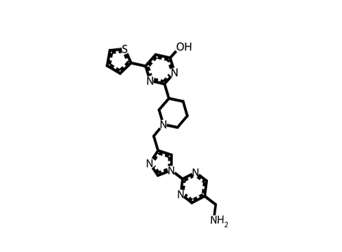 NCc1cnc(-n2cnc(CN3CCCC(c4nc(O)cc(-c5cccs5)n4)C3)c2)nc1